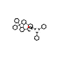 c1ccc(-c2nc(-c3ccccc3)nc(-c3ccc(-c4cccc5c4-c4c(-c6cccnc6)cccc4C5(c4ccccc4)c4ccccc4)cc3)n2)cc1